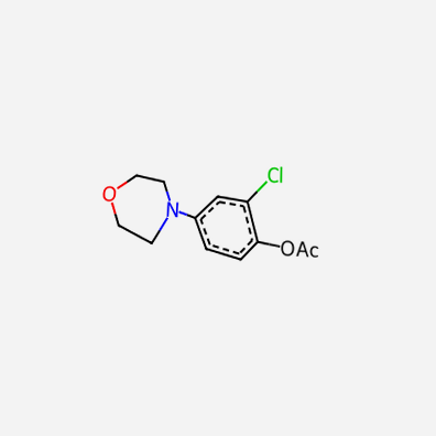 CC(=O)Oc1ccc(N2CCOCC2)cc1Cl